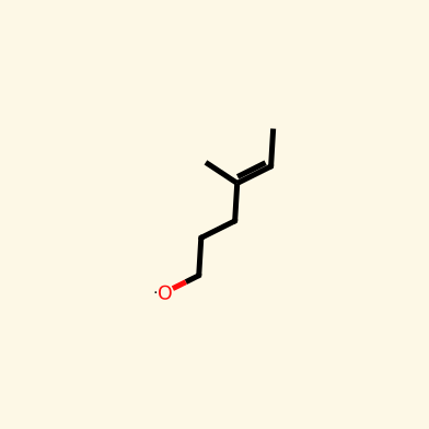 C/C=C(\C)CCC[O]